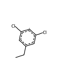 CCc1cc(Cl)[c]c(Cl)c1